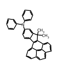 CC1(C)c2cc(N(c3ccccc3)c3ccccc3)ccc2-c2c1c1cccc3ccc4cccc2c4c31